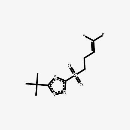 CC(C)(C)c1nnc(S(=O)(=O)CCC=C(F)F)s1